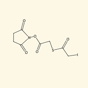 O=C(CSC(=O)CI)ON1C(=O)CCC1=O